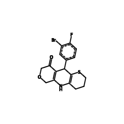 O=C1COCC2=C1C(c1ccc(F)c(Br)c1)C1=C(CCCS1)N2